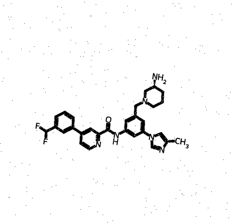 Cc1cn(-c2cc(CN3CCC[C@H](N)C3)cc(NC(=O)c3cc(-c4cccc(C(F)F)c4)ccn3)c2)cn1